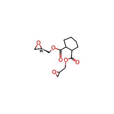 O=C(OCC1CO1)C1CCCCC1C(=O)OC[C@H]1CO1